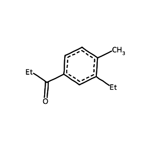 CCC(=O)c1ccc(C)c(CC)c1